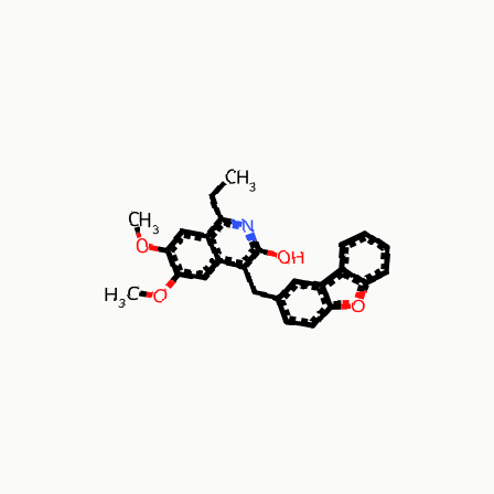 CCc1nc(O)c(Cc2ccc3oc4ccccc4c3c2)c2cc(OC)c(OC)cc12